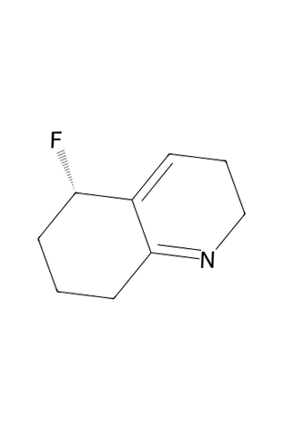 F[C@H]1CCCC2=NCCC=C21